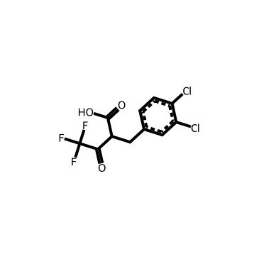 O=C(O)C(Cc1ccc(Cl)c(Cl)c1)C(=O)C(F)(F)F